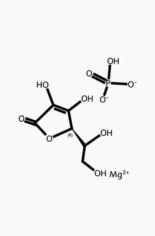 O=C1O[C@H](C(O)CO)C(O)=C1O.O=P([O-])([O-])O.[Mg+2]